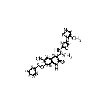 Cc1cnnn1-c1coc(N[C@@H](C)c2cc3cc(Cl)c(OCc4ccccn4)cc3[nH]c2=O)n1